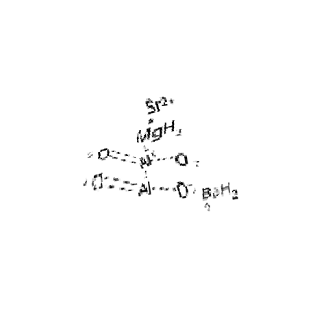 [BaH2].[MgH2].[O]=[Al][O-].[O]=[Al][O-].[Sr+2]